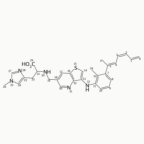 C=C/C=C\C=C(/C)c1cccc(Nc2csc3cc(CNC(Cc4cn(C)cn4)C(=O)O)cnc23)c1C